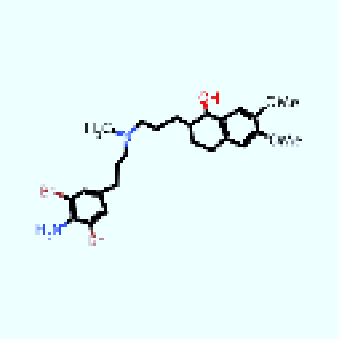 COc1cc2c(cc1OC)C(O)C(CCCN(C)CCCc1cc(Br)c(N)c(Br)c1)CC2